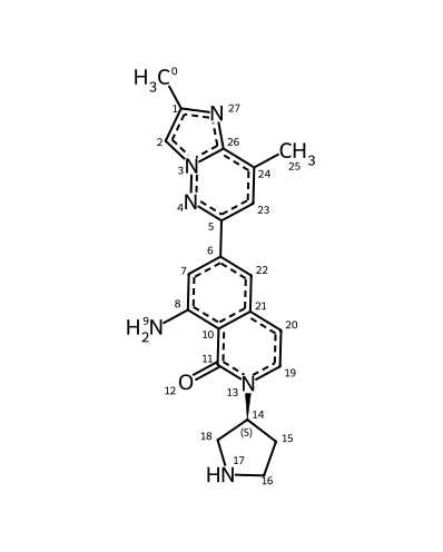 Cc1cn2nc(-c3cc(N)c4c(=O)n([C@H]5CCNC5)ccc4c3)cc(C)c2n1